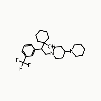 OC1(C(CN2CCC(N3CCCCC3)CC2)c2cccc(C(F)(F)F)c2)CCCCC1